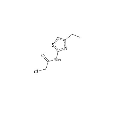 CCc1csc(NC(=O)CCl)n1